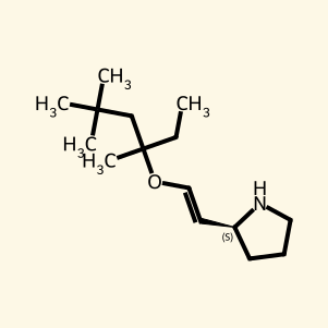 CCC(C)(CC(C)(C)C)OC=C[C@@H]1CCCN1